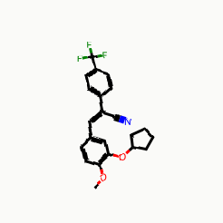 COc1ccc(C=C(C#N)c2ccc(C(F)(F)F)cc2)cc1OC1CCCC1